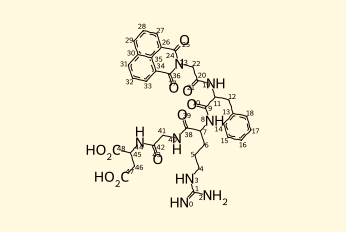 N=C(N)NCCCC(NC(=O)C(Cc1ccccc1)NC(=O)CN1C(=O)c2cccc3cccc(c23)C1=O)C(=O)NCC(=O)NC(CC(=O)O)C(=O)O